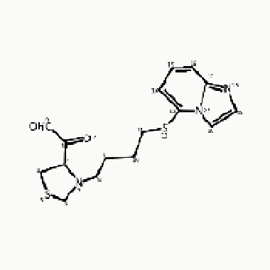 O=CC(=O)C1CSCN1CCCCSc1cccc2nccn12